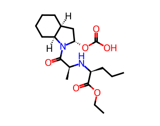 CCC[C@H](N[C@@H](C)C(=O)N1[C@@H](OC(=O)O)C[C@@H]2CCCC[C@@H]21)C(=O)OCC